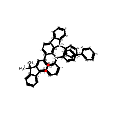 CC1(C)c2ccccc2-c2ccc(-c3ccc4c5ccccc5n(-c5ccccc5)c4c3N(c3ccccc3)c3ccc(-c4ccccc4)cc3)cc21